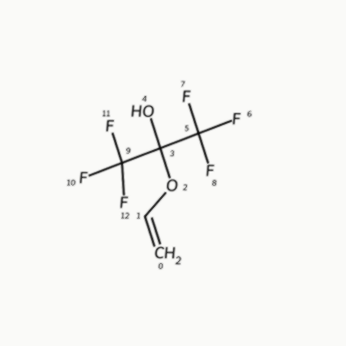 C=COC(O)(C(F)(F)F)C(F)(F)F